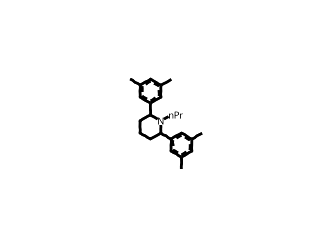 CCCN1C(c2cc(C)cc(C)c2)CCCC1c1cc(C)cc(C)c1